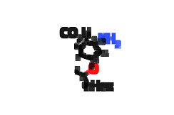 CCCCCC[C@@H](C)Oc1ccc(C(=O)O)c(N)c1